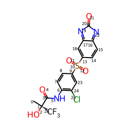 C[C@@](O)(C(=O)Nc1ccc(S(=O)(=O)c2ccc3c(c2)=NC(=O)N=3)cc1Cl)C(F)(F)F